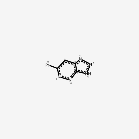 CC(C)c1cc2nn[nH]c2nn1